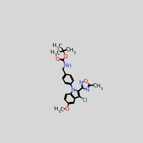 COc1ccc2c(c1)c(Cl)c(-c1noc(C)n1)n2-c1ccc(CNC(=O)OC(C)(C)C)cc1